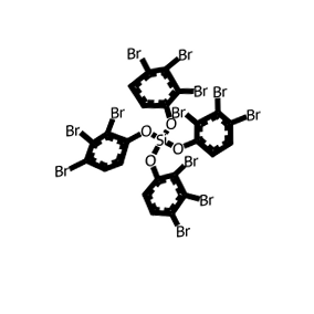 Brc1ccc(O[Si](Oc2ccc(Br)c(Br)c2Br)(Oc2ccc(Br)c(Br)c2Br)Oc2ccc(Br)c(Br)c2Br)c(Br)c1Br